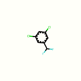 F[C](F)c1cc(Cl)cc(Cl)c1